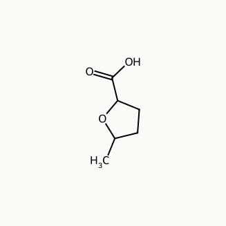 CC1CCC(C(=O)O)O1